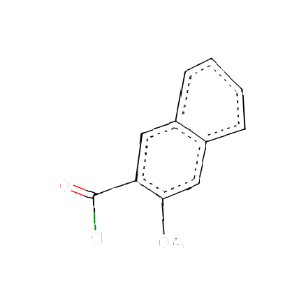 CC(=O)Oc1cc2ccccc2cc1C(=O)Cl